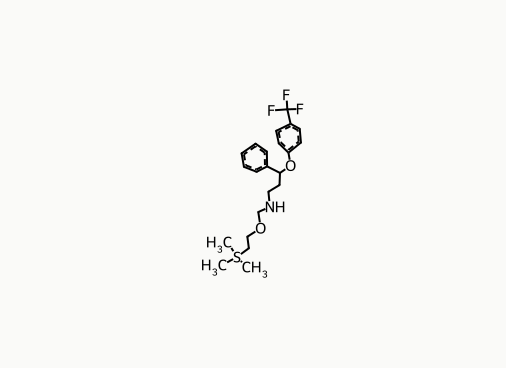 CS(C)(C)CCOCNCCC(Oc1ccc(C(F)(F)F)cc1)c1ccccc1